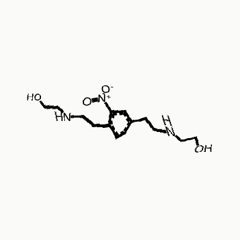 O=[N+]([O-])c1cc(CCNCCO)ccc1CCNCCO